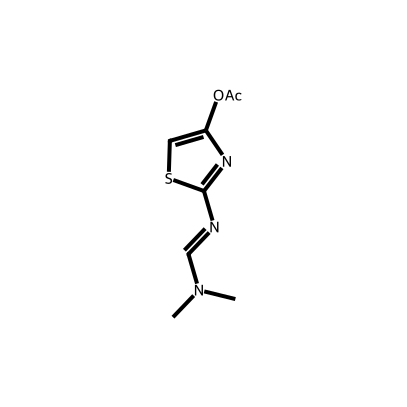 CC(=O)Oc1csc(N=CN(C)C)n1